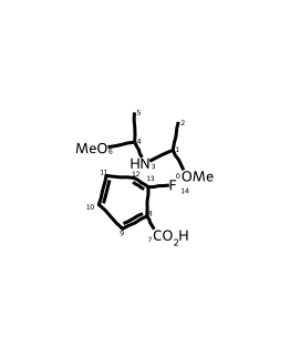 COC(C)NC(C)OC.O=C(O)c1ccccc1F